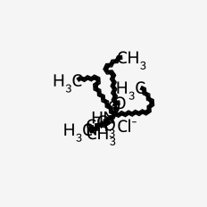 CCCCC/C=C\C/C=C\CCCCCCCCC(CCCCCCCC/C=C\C/C=C\CCCCC)(CNC(=O)OCCC[N+](C)(C)C)COC(=O)CCCCCCC/C=C\C/C=C\CCCCC.[Cl-]